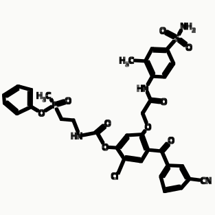 Cc1cc(S(N)(=O)=O)ccc1NC(=O)COc1cc(OC(=O)NCCP(C)(=O)Oc2ccccc2)c(Cl)cc1C(=O)c1cccc(C#N)c1